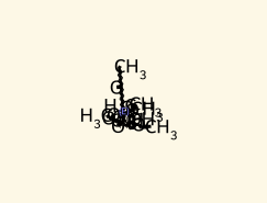 CC#CCOc1ccc(C[C@H](NC(=O)[C@@H](/C=C/CCCCCCC(=O)CCCCCCC)[C@@H](CCO)C(=O)OC(C)(C)C)C(=O)OCC(=O)OC)cc1